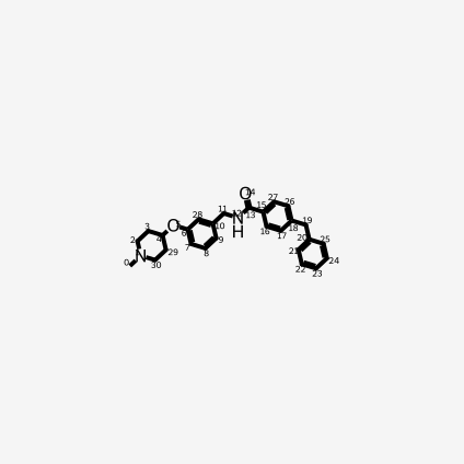 CN1CCC(Oc2cccc(CNC(=O)c3ccc(Cc4ccccc4)cc3)c2)CC1